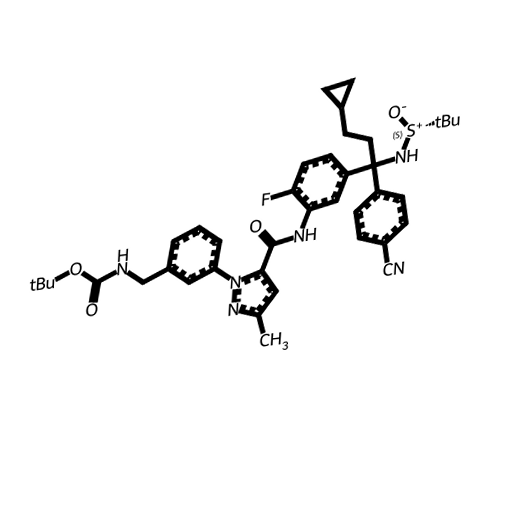 Cc1cc(C(=O)Nc2cc(C(CCC3CC3)(N[S@+]([O-])C(C)(C)C)c3ccc(C#N)cc3)ccc2F)n(-c2cccc(CNC(=O)OC(C)(C)C)c2)n1